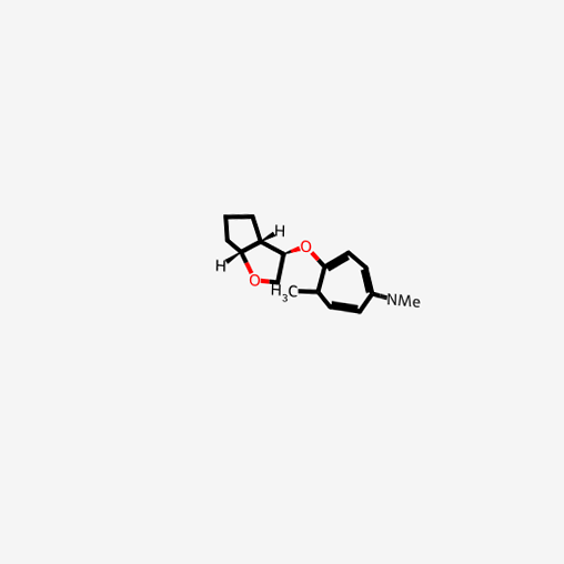 CNC1=CC=C(O[C@H]2CO[C@@H]3CCC[C@H]23)C(C)C=C1